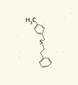 Cc1ccc(CSCCc2ccccc2)cc1